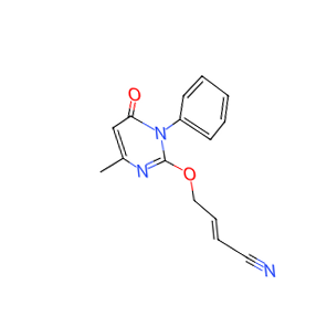 Cc1cc(=O)n(-c2ccccc2)c(OCC=CC#N)n1